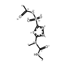 CNC(=O)N(C)c1nnc(S(=O)(=O)OC(C)=O)s1